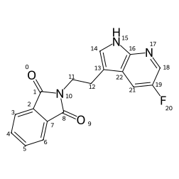 O=C1c2ccccc2C(=O)N1CCc1c[nH]c2ncc(F)cc12